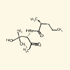 CCC[C@H](C)C(=O)N[C@H](C(C)=O)C(C)(C)O